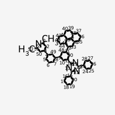 Cc1cc(-c2cccc(-c3cc(-c4nc(-c5ccccc5)nc(-c5ccccc5)n4)cc(-c4cc5cccc6ccc7cccc4c7c65)c3)c2)cc(C)n1